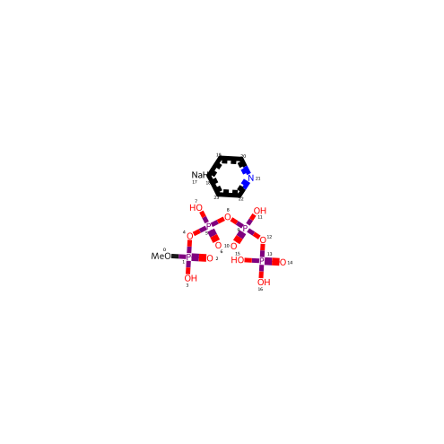 COP(=O)(O)OP(=O)(O)OP(=O)(O)OP(=O)(O)O.[NaH].c1ccncc1